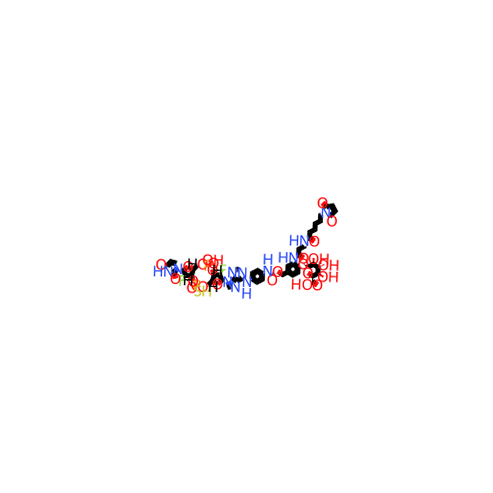 O=C(CCCCCN1C(=O)C=CC1=O)NCCC(=O)Nc1cc(COC(=O)Nc2ccc(Nc3ncnc4c3ncn4[C@@H]3O[C@@H]4COP(=O)(S)O[C@H]5[C@@H](F)[C@H](n6ccc(=O)[nH]c6=O)O[C@@H]5COP(=O)(O)O[C@H]4[C@H]3F)cc2)ccc1O[C@H]1O[C@@H](C(=O)O)[C@H](O)[C@@H](O)[C@@H]1O